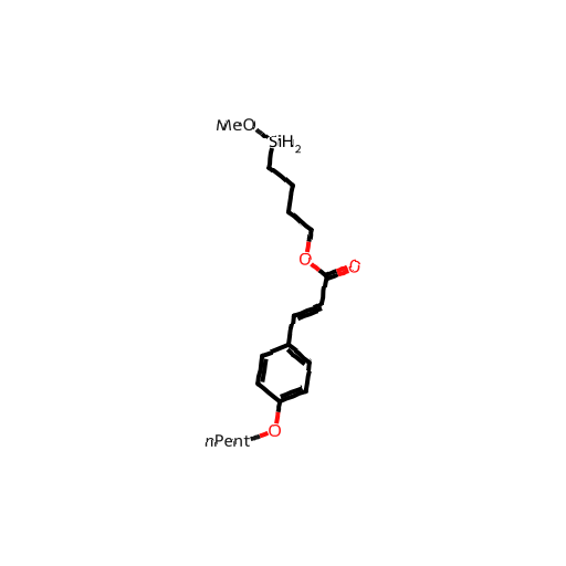 CCCCCOc1ccc(C=CC(=O)OCCCC[SiH2]OC)cc1